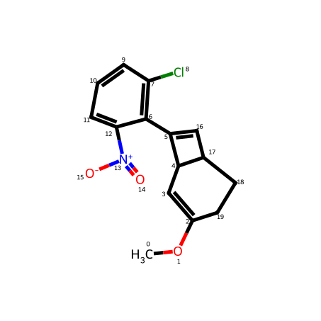 COC1=CC2C(c3c(Cl)cccc3[N+](=O)[O-])=CC2CC1